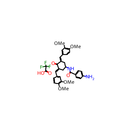 COc1ccc(/C=C2\CC(NC(=O)c3ccc(N)cc3)C/C(=C\c3ccc(OC)c(OC)c3)C2=O)cc1OC.O=C(O)C(F)(F)F